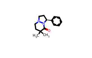 CC1(C)CCN2CC[C@@H](c3ccccc3)N2C1=O